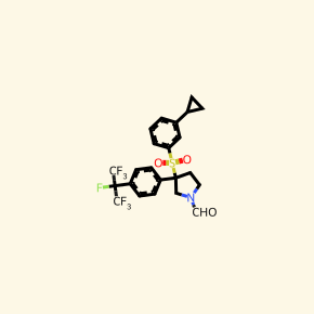 O=CN1CCC(c2ccc(C(F)(C(F)(F)F)C(F)(F)F)cc2)(S(=O)(=O)c2cccc(C3CC3)c2)C1